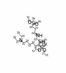 CCO[Si](OCC)(OCC)C(CCCCCN(CC)CC)[SiH2]CNCCC[Si](C)(OC)OC